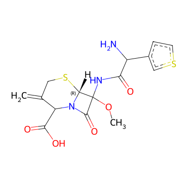 C=C1CS[C@H]2N(C(=O)C2(NC(=O)C(N)c2ccsc2)OC)C1C(=O)O